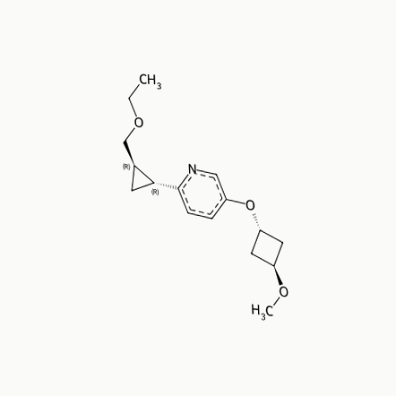 CCOC[C@@H]1C[C@H]1c1ccc(O[C@H]2C[C@H](OC)C2)cn1